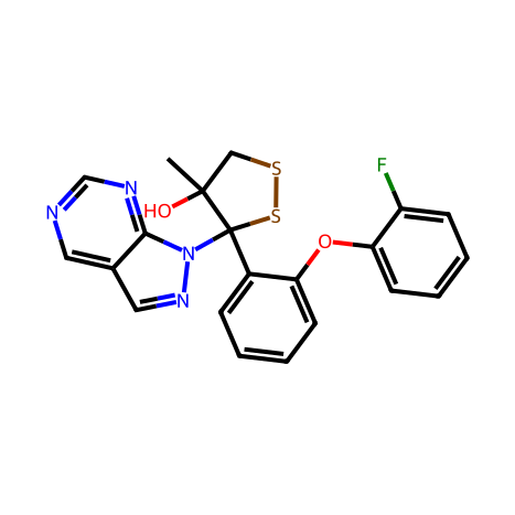 CC1(O)CSSC1(c1ccccc1Oc1ccccc1F)n1ncc2cncnc21